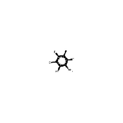 Cc1c(F)c(N)c(C(C)C)c(Cl)c1F